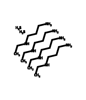 CCNCCCN.CCNCCCN.CCNCCCN.CCNCCCN.S.S